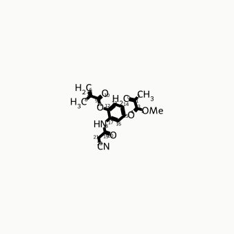 C=C(C)C(=O)OC.C=C(C)C(=O)Oc1ccccc1NC(=O)CC#N